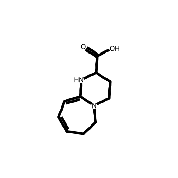 O=C(O)C1CCN2CCC=CC=C2N1